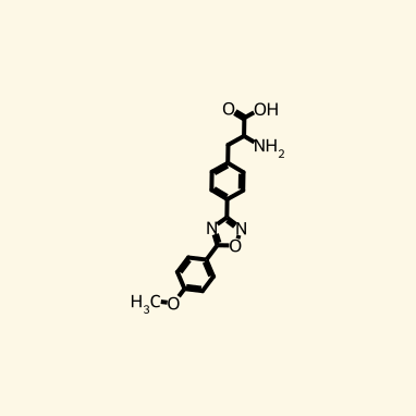 COc1ccc(-c2nc(-c3ccc(CC(N)C(=O)O)cc3)no2)cc1